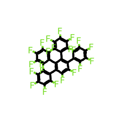 Fc1c(F)c(F)c(-c2c(F)c(F)c(-c3c(F)c(F)c(F)c(F)c3F)c(-c3c(F)c(F)c(F)c(F)c3F)c2-c2c(F)c(F)c(F)c(F)c2F)c(F)c1F